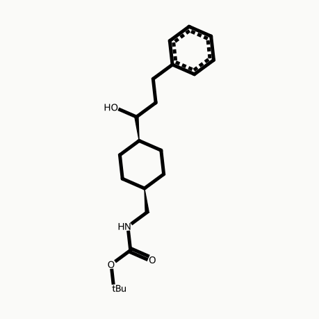 CC(C)(C)OC(=O)NC[C@H]1CC[C@@H](C(O)CCc2ccccc2)CC1